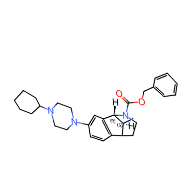 C[C@H]1C2CCN(C(=O)OCc3ccccc3)[C@H]1c1cc(N3CCN(C4CCCCC4)CC3)ccc12